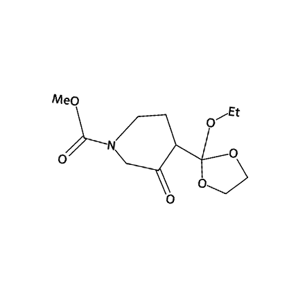 CCOC1(C2CCN(C(=O)OC)CC2=O)OCCO1